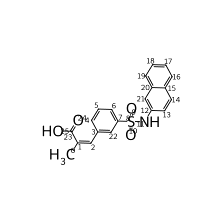 CC(=Cc1cccc(S(=O)(=O)Nc2ccc3ccccc3c2)c1)C(=O)O